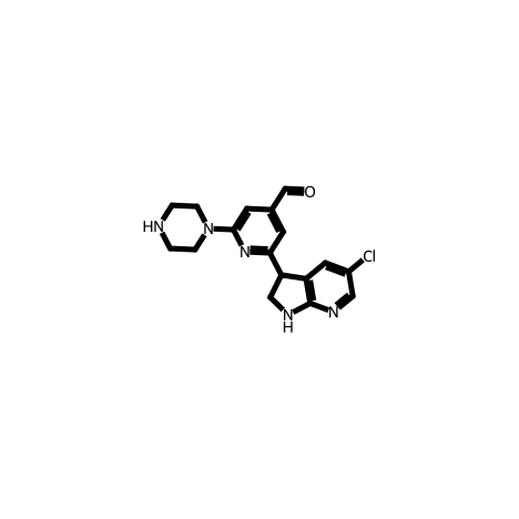 O=Cc1cc(C2CNc3ncc(Cl)cc32)nc(N2CCNCC2)c1